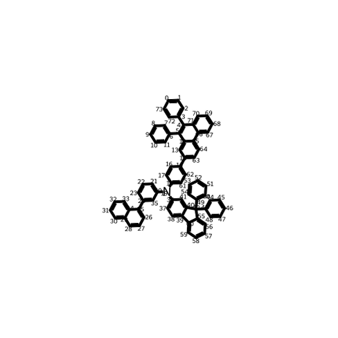 c1ccc(-c2c(-c3ccccc3)c3cc(-c4ccc(N(c5cccc(-c6cccc7ccccc67)c5)c5ccc6c(c5)C(c5ccccc5)(c5ccccc5)c5ccccc5-6)cc4)ccc3c3ccccc23)cc1